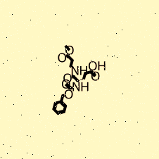 COC(=O)CCNC(=O)[C@H](CCC(=O)O)NC(=O)OCc1ccccc1